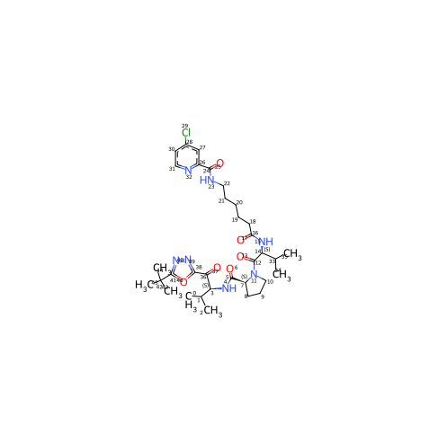 CC(C)[C@H](NC(=O)[C@@H]1CCCN1C(=O)[C@@H](NC(=O)CCCCCNC(=O)c1cc(Cl)ccn1)C(C)C)C(=O)c1nnc(C(C)(C)C)o1